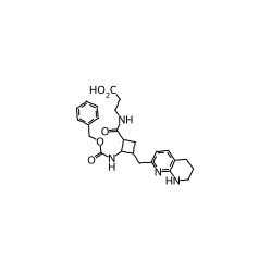 O=C(O)CCNC(=O)C1CC(Cc2ccc3c(n2)NCCC3)C1NC(=O)OCc1ccccc1